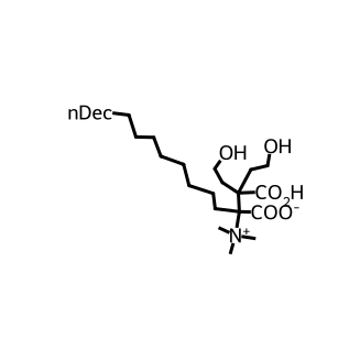 CCCCCCCCCCCCCCCCCCC(C(=O)[O-])(C(CCO)(CCO)C(=O)O)[N+](C)(C)C